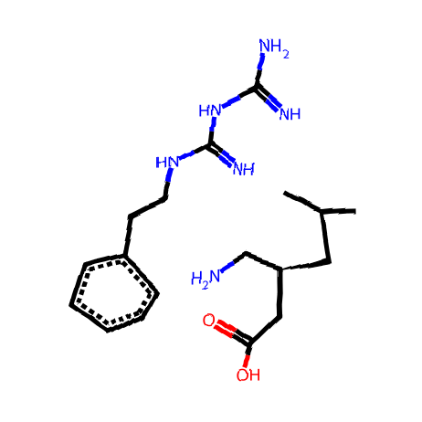 CC(C)C[C@H](CN)CC(=O)O.N=C(N)NC(=N)NCCc1ccccc1